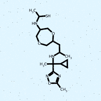 Cc1nc(C(C)(NC(C)CC2COCC(NC(C)S)CO2)C2CC2)no1